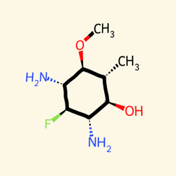 CO[C@H]1[C@H](C)[C@@H](O)[C@H](N)[C@@H](F)[C@@H]1N